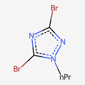 CCCn1nc(Br)nc1Br